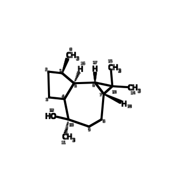 C[C@@H]1CCC2[C@@H]1[C@H]1[C@@H](CC[C@@]2(C)O)C1(C)C